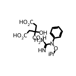 CC(C)ON(C(=N)N)c1ccccc1.O=C(O)CC(O)(CC(=O)O)C(=O)O